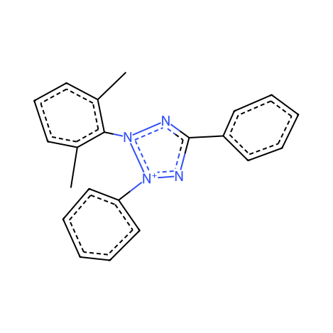 Cc1cccc(C)c1-n1nc(-c2ccccc2)n[n+]1-c1ccccc1